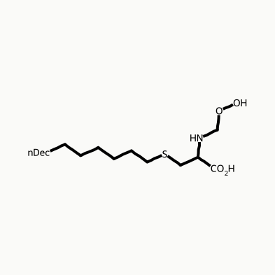 CCCCCCCCCCCCCCCCSCC(NCOO)C(=O)O